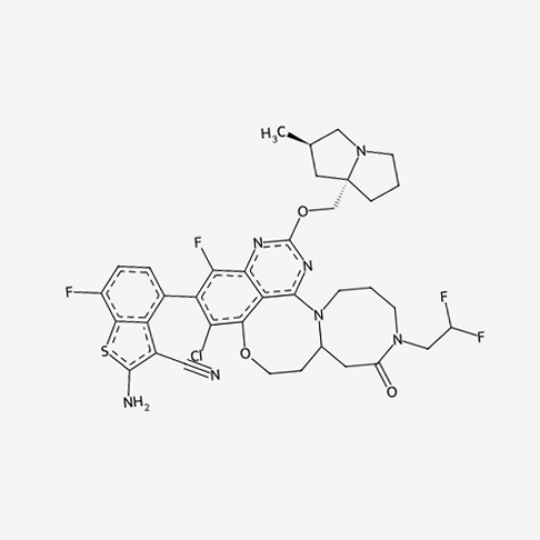 C[C@H]1CN2CCC[C@@]2(COc2nc3c4c(c(Cl)c(-c5ccc(F)c6sc(N)c(C#N)c56)c(F)c4n2)OCCC2CC(=O)N(CC(F)F)CCCN32)C1